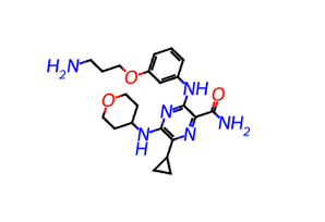 NCCCOc1cccc(Nc2nc(NC3CCOCC3)c(C3CC3)nc2C(N)=O)c1